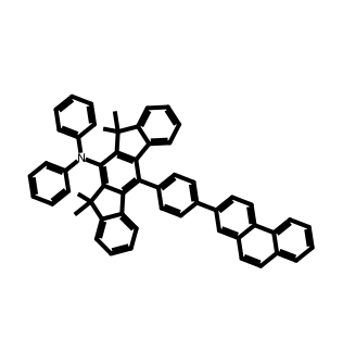 CC1(C)c2ccccc2-c2c(-c3ccc(-c4ccc5c(ccc6ccccc65)c4)cc3)c3c(c(N(c4ccccc4)c4ccccc4)c21)C(C)(C)c1ccccc1-3